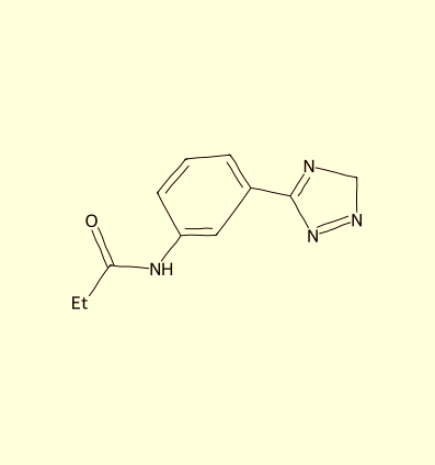 CCC(=O)Nc1cccc(C2=NCN=N2)c1